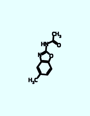 CC(=O)Nc1nc2cc(C)ccc2o1